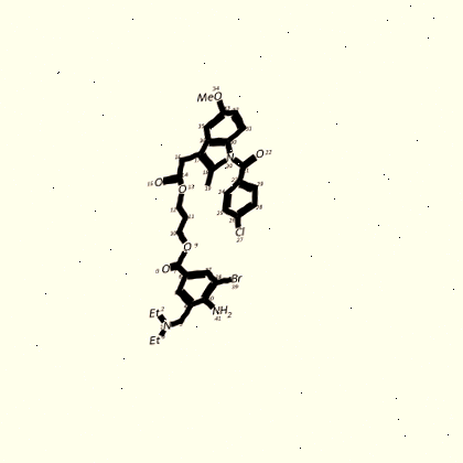 CCN(CC)Cc1cc(C(=O)OCCCOC(=O)Cc2c(C)n(C(=O)c3ccc(Cl)cc3)c3ccc(OC)cc23)cc(Br)c1N